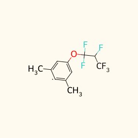 Cc1[c]c(C)cc(OC(F)(F)C(F)C(F)(F)F)c1